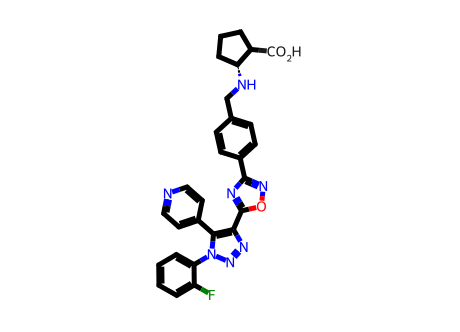 O=C(O)C1CCC[C@H]1NCc1ccc(-c2noc(-c3nnn(-c4ccccc4F)c3-c3ccncc3)n2)cc1